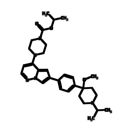 COC1(c2ccc(-c3cc4c(N5CCN(C(=O)OC(C)C)CC5)ccnn4c3)cc2)CCN(C(C)C)CC1